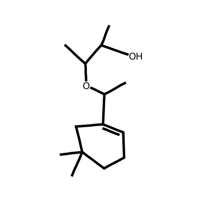 CC(OC(C)C(C)O)C1=CCCC(C)(C)C1